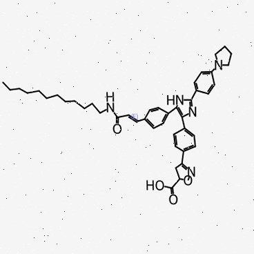 CCCCCCCCCCCCNC(=O)/C=C/c1ccc(-c2[nH]c(-c3ccc(N4CCCC4)cc3)nc2-c2ccc(C3=NOC(C(=O)O)C3)cc2)cc1